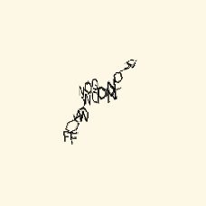 Cc1nc2ccc(Oc3ccc4ncc(-c5cnn(C6(C)CCC(F)(F)CC6)c5)nc4c3Cl)cc2n1COCC[Si](C)(C)C